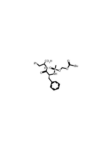 CC(C)C[C@H](NC(=O)[C@H](Cc1ccccc1)NP(C)(=O)OCOC(=O)C(C)(C)C)C(=O)O